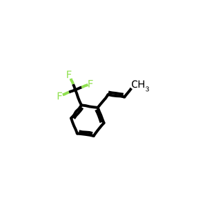 C/C=C/c1ccccc1C(F)(F)F